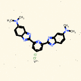 CN(C)C1=CC2=NC(c3cccc(C4=NC5C=CC(N(C)C)=CC5=N4)n3)=NC2C=C1.[Cl-].[Cl-].[V+2]